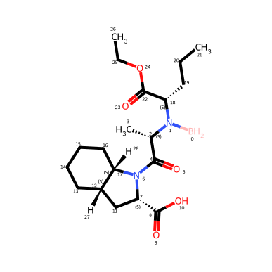 BN([C@@H](C)C(=O)N1[C@H](C(=O)O)C[C@@H]2CCCC[C@@H]21)[C@@H](CCC)C(=O)OCC